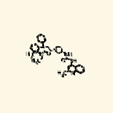 CCN(CC)C(=O)C(CCN1CC[C@H](NC(=O)Nc2cc(C)nc3ccccc23)C1)(c1ccccc1)c1ccccc1